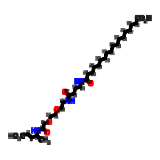 CC(CCC(=O)O)NC(=O)COCCOCCNC(=O)CCCNC(=O)CCCCCCCCCCCCCCCCC(=O)O